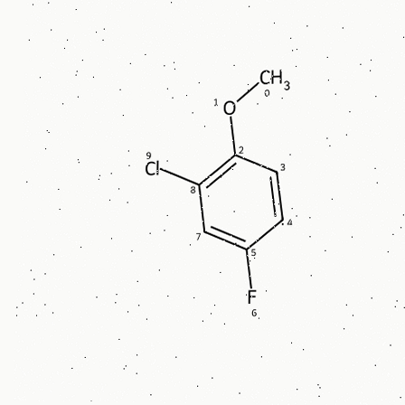 COc1c[c]c(F)cc1Cl